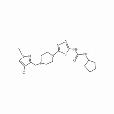 Cn1cc(Cl)c(CN2CCN(c3nnc(NC(=O)NC4CCCC4)s3)CC2)n1